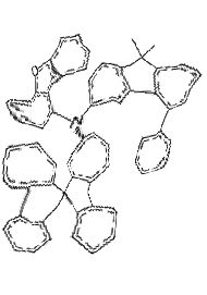 CC1(C)c2ccc(N(c3ccc4c(c3)C3(c5ccccc5-c5ccccc53)c3ccccc3-4)c3cccc4oc5ccccc5c34)cc2-c2c(-c3ccccc3)cccc21